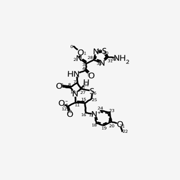 CON=C(C(=O)NC1C(=O)N2C(C(=O)[O-])=C(C[n+]3ccc(OC)cc3)CS[C@@H]12)c1nsc(N)n1